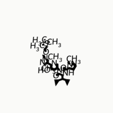 CCn1nccc1C(=O)NC(C(=O)Nc1cnc(-c2c(C)nn(COCCS(C)(C)C)c2C)c(O)c1)C(C1CC1)C1CC1